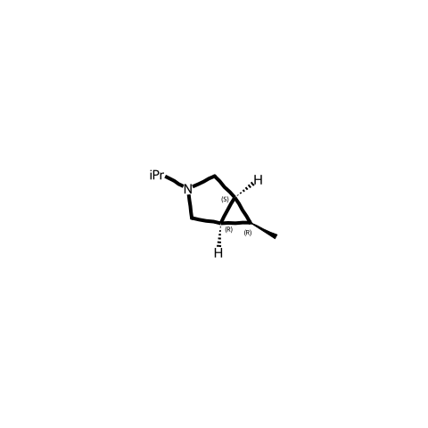 CC(C)N1C[C@@H]2[C@H](C)[C@@H]2C1